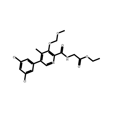 CCOC(=O)CNC(=O)c1ncc(-c2cc(Cl)cc(Cl)c2)c(C)c1OCOC